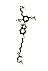 C=CC(=O)OCCCCCCSc1ccc2nn(-c3cc(C)cc(CCCC)c3O)nc2c1